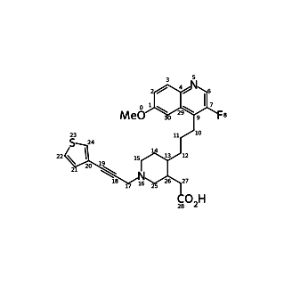 COc1ccc2ncc(F)c(CCCC3CCN(CC#Cc4ccsc4)CC3CC(=O)O)c2c1